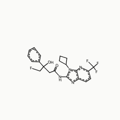 O=C(CC(O)(CF)c1ccccc1)Nc1nc2ccc(C(F)(F)F)nc2n1C1CCC1